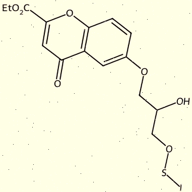 CCOC(=O)c1cc(=O)c2cc(OCC(O)COSI)ccc2o1